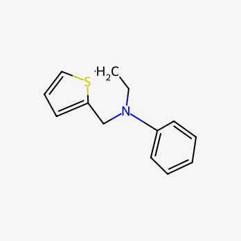 [CH2]CN(Cc1cccs1)c1ccccc1